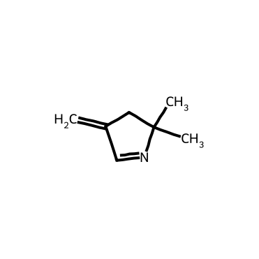 C=C1C=NC(C)(C)C1